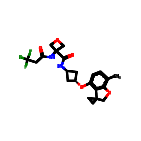 Cc1ccc(O[C@H]2C[C@H](NC(=O)C3(NC(=O)CC(F)(F)F)COC3)C2)c2c1OCC21CC1